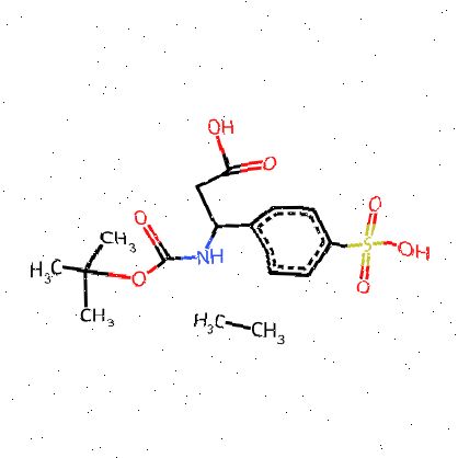 CC.CC(C)(C)OC(=O)NC(CC(=O)O)c1ccc(S(=O)(=O)O)cc1